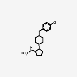 O=C(O)NC1CCCC1N1CCC(Cc2ccc(Cl)cc2)CC1